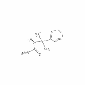 CNC(=O)[C@@H](N)C(C)(C)c1ccccc1